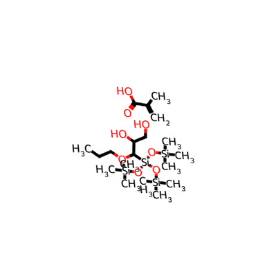 C=C(C)C(=O)O.CCCOC(C(O)CO)[Si](O[Si](C)(C)C)(O[Si](C)(C)C)O[Si](C)(C)C